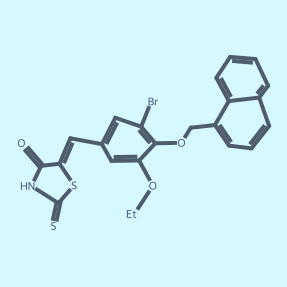 CCOc1cc(/C=C2\SC(=S)NC2=O)cc(Br)c1OCc1cccc2ccccc12